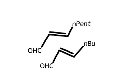 CCCCC=CC=O.CCCCCC=CC=O